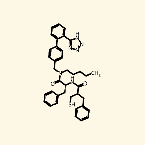 CCCCCN(Cc1ccc(-c2ccccc2-c2nnn[nH]2)cc1)C(=O)[C@H](Cc1ccccc1)NC(=O)C(CS)Cc1ccccc1